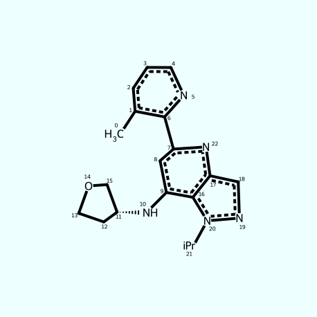 Cc1cccnc1-c1cc(N[C@@H]2CCOC2)c2c(cnn2C(C)C)n1